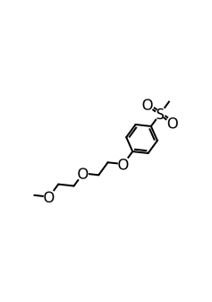 COCCOCCOc1ccc(S(C)(=O)=O)cc1